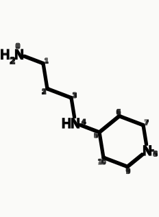 NCCCNC1CC[N]CC1